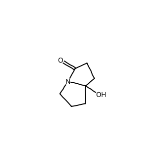 O=C1CCC2(O)CCCN12